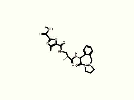 CNC(=O)c1nc(C)c(C(=O)NC[C@@H](C)C(=O)N[C@@H]2C(=O)N3CCCN3Cc3ccccc32)s1